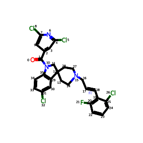 O=C(c1cc(Cl)nc(Cl)c1)N1CC2(CCN(C/C=C/c3c(F)cccc3Cl)CC2)c2cc(Cl)ccc21